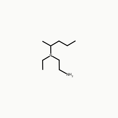 CCCC(C)N(CC)CCN